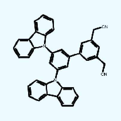 N#CCc1cc(CC#N)cc(-c2cc(-n3c4ccccc4c4ccccc43)cc(-n3c4ccccc4c4ccccc43)c2)c1